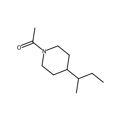 CCC(C)C1CCN(C(C)=O)CC1